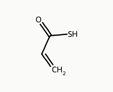 C=CC(=O)S